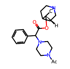 CC(=O)N1CCN(C(C(=O)O[C@H]2CN3CCC2CC3)c2ccccc2)CC1